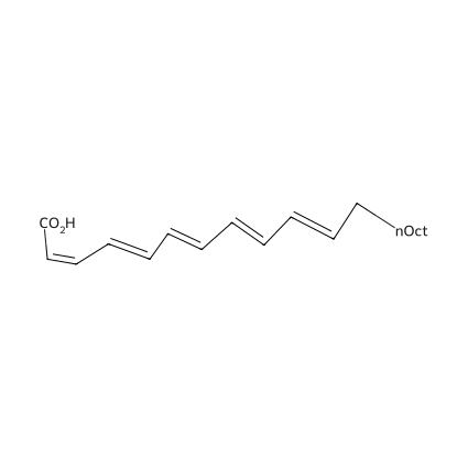 CCCCCCCCC/C=C/C=C/C=C/C=C/C=C\C(=O)O